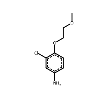 COCCOc1ccc(N)cc1Cl